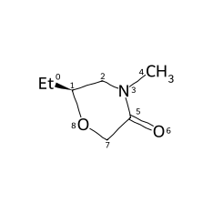 CC[C@H]1CN(C)C(=O)CO1